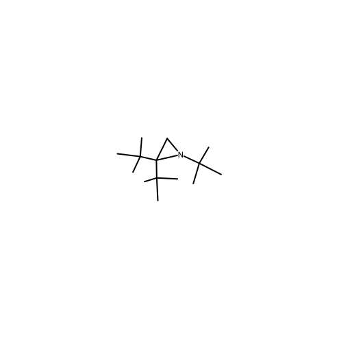 CC(C)(C)N1CC1(C(C)(C)C)C(C)(C)C